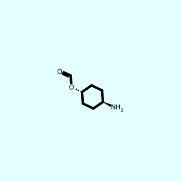 N[C@H]1CC[C@H](OC=O)CC1